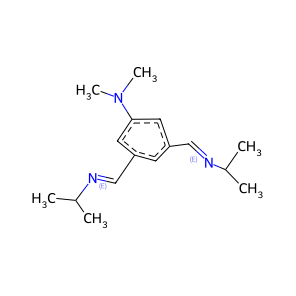 CC(C)/N=C/c1cc(/C=N/C(C)C)cc(N(C)C)c1